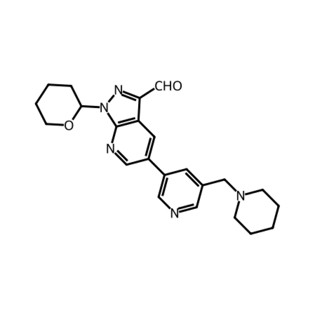 O=Cc1nn(C2CCCCO2)c2ncc(-c3cncc(CN4CCCCC4)c3)cc12